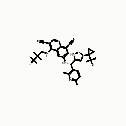 Cc1nc(F)ccc1[C@H](Nc1cc(C#N)c2ncc(C#N)c(NCC(C)(C)C(F)(F)F)c2c1)C1=CN(C2(C(F)(F)F)CC2)NN1